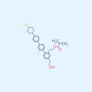 C=C(C)C(=O)OCCc1cc(CCO)ccc1-c1ccc(-c2ccc(C3CCC(S)CC3)cc2)cc1F